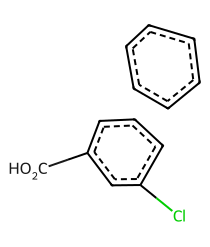 O=C(O)c1cccc(Cl)c1.c1ccccc1